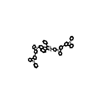 c1ccc(-c2nc(-c3ccc(-n4c5ccccc5c5cc(-c6ccc7c(c6)c6ccccc6n7-c6ccccc6)ccc54)cc3)nc3c2-c2ccc(-n4c5ccccc5c5cc(-c6ccc7c(c6)c6ccccc6n7-c6ccccc6)ccc54)c4cccc-3c24)cc1